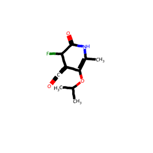 CC1=C(OC(C)C)C(=C=O)C(F)C(=O)N1